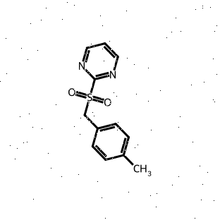 Cc1ccc(CS(=O)(=O)c2ncccn2)cc1